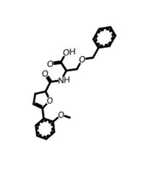 COc1ccccc1C1=CCC(C(=O)NC(COCc2ccccc2)C(=O)O)O1